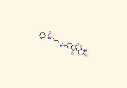 O=C1CCC(N2C(=O)c3ccc(NCCCCCNC(=O)c4cccnc4)cc3C2=O)C(=O)N1